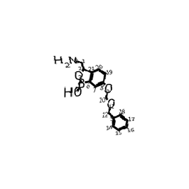 NCC1OB(O)c2cc(OCOCc3ccccc3)ccc21